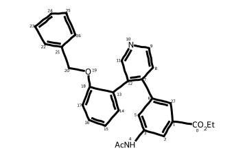 CCOC(=O)c1cc(NC(C)=O)cc(-c2ccncc2-c2ccccc2OCc2ccccc2)c1